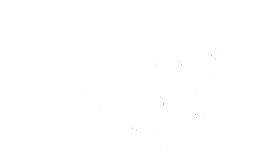 C[C@H](Nc1ccnc(-c2cnc3ccc(C(=O)O)cn23)n1)c1ccccc1